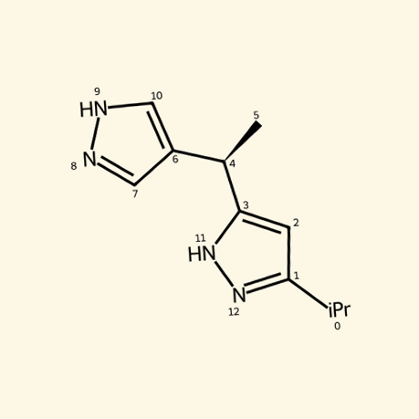 CC(C)c1cc([C@H](C)c2cn[nH]c2)[nH]n1